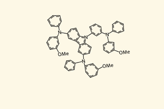 COc1cccc(N(c2ccccc2)c2cccc(-n3c4ccc(N(c5ccccc5)c5cccc(OC)c5)cc4c4cc(N(c5ccccc5)c5cccc(OC)c5)ccc43)c2)c1